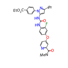 CCOC(=O)c1ccc(-n2nc(C(C)C)cc2NC(=O)Nc2ccc(Oc3ccnc(C(=O)NC)c3)cc2F)cc1